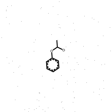 [CH2]C([O])Oc1ccccc1